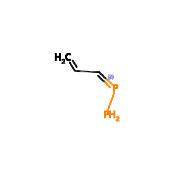 C=C/C=P\P